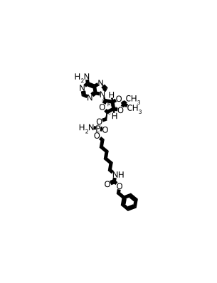 CC1(C)O[C@@H]2[C@H](O1)[C@@H](COP(N)(=O)OCCCCCCNC(=O)OCc1ccccc1)O[C@H]2n1cnc2c(N)ncnc21